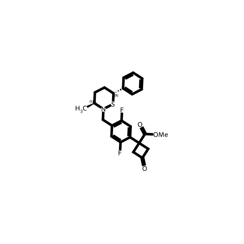 COC(=O)C1(c2cc(F)c(CN3S[C@@H](c4ccccc4)CC[C@@H]3C)cc2F)CC(=O)C1